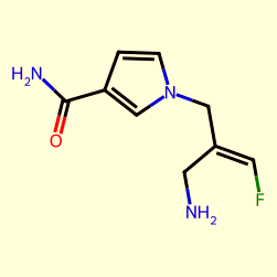 NC/C(=C\F)Cn1ccc(C(N)=O)c1